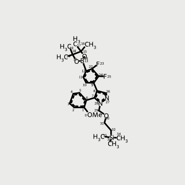 COc1ccccc1-c1c(-c2ccc(B3OC(C)(C)C(C)(C)O3)c(F)c2F)cnn1COCC[Si](C)(C)C